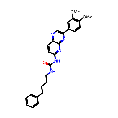 COc1ccc(-c2cnc3ccc(NC(=O)NCCCCc4ccccc4)nc3n2)cc1OC